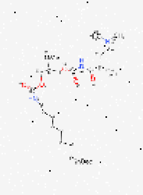 CCCCCCCCCCCCCCCCCCNC(=O)OCC(COC(=O)NC(=O)C(C)CCN(C)C)OC